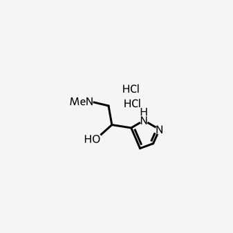 CNCC(O)c1ccn[nH]1.Cl.Cl